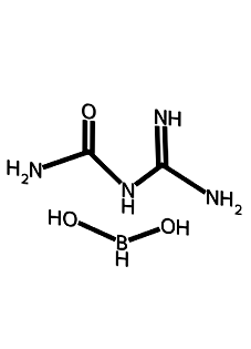 N=C(N)NC(N)=O.OBO